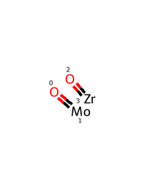 [O]=[Mo].[O]=[Zr]